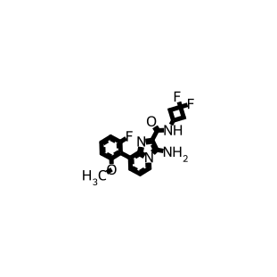 COc1cccc(F)c1-c1cccn2c(N)c(C(=O)NC3CC(F)(F)C3)nc12